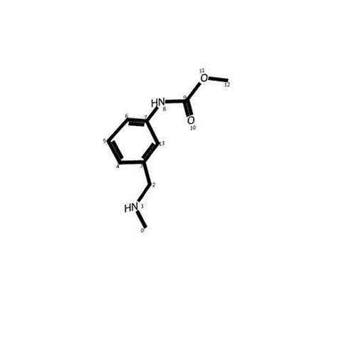 CNCc1cccc(NC(=O)OC)c1